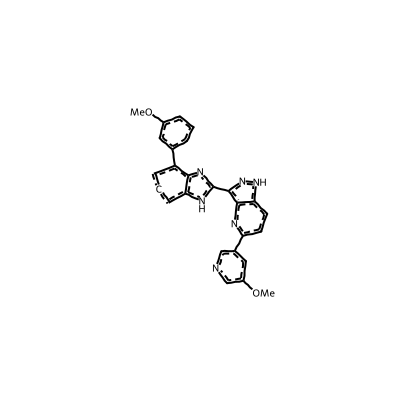 COc1cncc(-c2ccc3[nH]nc(-c4nc5c(-c6cccc(OC)c6)cccc5[nH]4)c3n2)c1